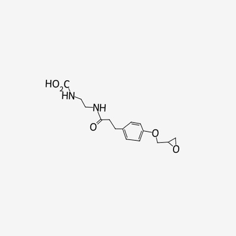 O=C(O)NCCNC(=O)CCc1ccc(OCC2CO2)cc1